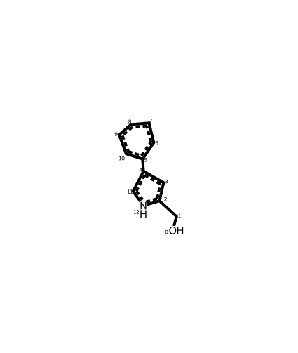 OCc1cc(-c2ccccc2)c[nH]1